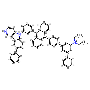 CCN(CC)c1cc(-c2ccccc2)cc(-c2ccc(-c3c4ccccc4c(-c4cccc(-n5c6ccncc6c6cc(-c7ccccc7)ccc65)c4)c4ccccc34)cc2)c1